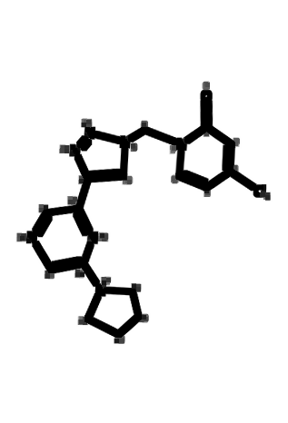 O=c1cc(Cl)ccn1Cn1cc(-c2cncc(N3CCCC3)n2)nn1